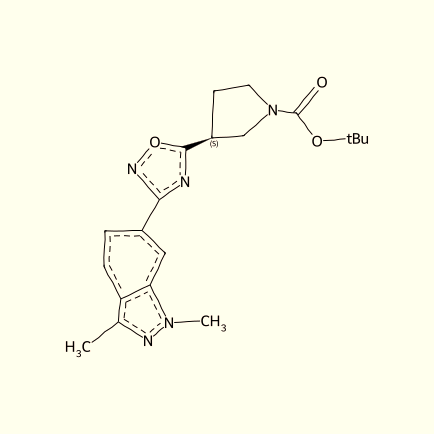 Cc1nn(C)c2cc(-c3noc([C@H]4CCN(C(=O)OC(C)(C)C)C4)n3)ccc12